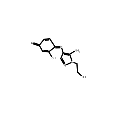 Nc1c(/N=C2/C=CC(=O)C=C2O)cnn1CCO